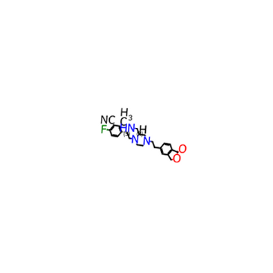 Cc1c([C@H]2CN3CCN(CCc4ccc5c(c4)COC5=O)C[C@H]3CN2)ccc(F)c1C#N